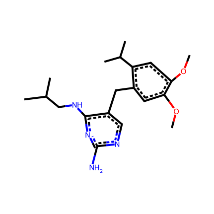 COc1cc(Cc2cnc(N)nc2NCC(C)C)c(C(C)C)cc1OC